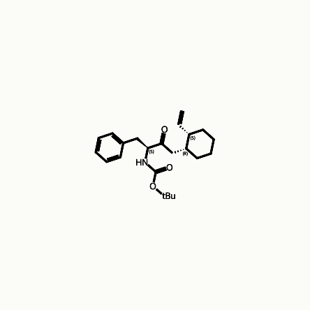 C=C[C@@H]1CCCC[C@@H]1CC(=O)[C@H](Cc1ccccc1)NC(=O)OC(C)(C)C